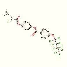 CC(C)CC(Cl)C(=O)Oc1ccc(OC(=O)c2ccc(OC(F)(F)C(F)(F)C(F)(F)C(F)(F)F)cc2)cc1